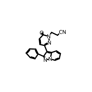 N#CCCn1nc(-c2c(-c3ccccc3)nn3ccccc23)ccc1=O